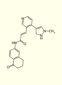 CN1C=C(c2ccncc2/C=C/C(=O)Nc2ccc3c(c2)CCCC3=O)CN1